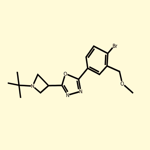 COCc1cc(-c2nnc(C3CN(C(C)(C)C)C3)o2)ccc1Br